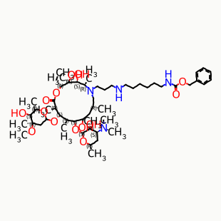 CC[C@H]1OC(=O)[C@H](C)[C@@H](OC2C[C@@](C)(OC)[C@@H](O)[C@H](C)O2)[C@H](C)[C@H](O[C@@H]2O[C@H](C)C[C@H](N(C)C)[C@H]2O)C(C)(O)C[C@@H](C)CN(CCCNCCCCCCNC(=O)OCc2ccccc2)[C@H](C)[C@H](O)[C@]1(C)O